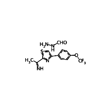 CC(=N)c1nc(-c2ccc(OC(F)(F)F)cc2)cs1.NNC=O